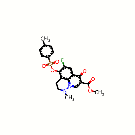 COC(=O)c1cn2c3c(c(OS(=O)(=O)c4ccc(C)cc4)c(F)cc3c1=O)CCN2C